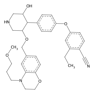 CCc1cc(Oc2ccc(C3C(O)CNCC3OCc3ccc4c(c3)N(CCCOC)CCO4)cc2)ccc1C#N